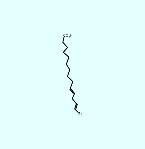 CCC=CCC=CCCCCCCCCC(=O)O